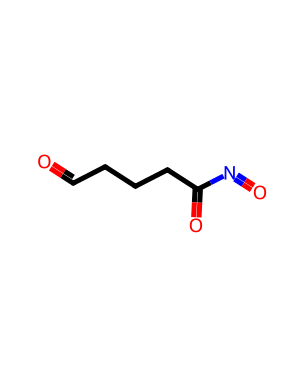 O=CCCCC(=O)N=O